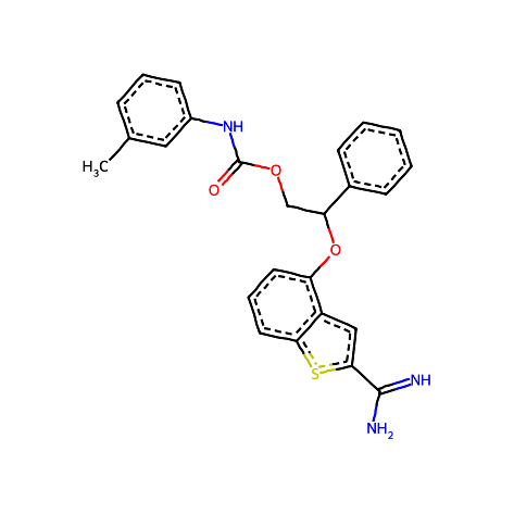 Cc1cccc(NC(=O)OCC(Oc2cccc3sc(C(=N)N)cc23)c2ccccc2)c1